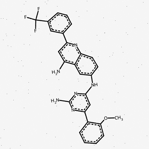 COc1ccccc1-c1cc(Nc2ccc3nc(-c4cccc(C(F)(F)F)c4)cc(N)c3c2)nc(N)n1